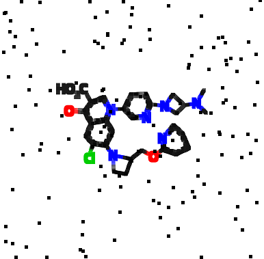 CN(C)C1CN(c2ccc(-n3cc(C(=O)O)c(=O)c4cc(Cl)c(N5CCC5COc5ccccn5)cc43)cn2)C1